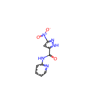 O=C(Nc1ccccn1)c1cc([N+](=O)[O-])n[nH]1